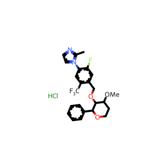 COC1CCOC(c2ccccc2)C1OCc1cc(F)c(-n2ccnc2C)cc1C(F)(F)F.Cl